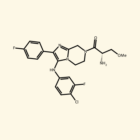 COC[C@H](N)C(=O)N1CCn2c(nc(-c3ccc(F)cc3)c2Nc2ccc(Cl)c(F)c2)C1